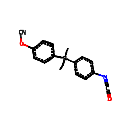 C[Si](C)(c1ccc(N=C=O)cc1)c1ccc(OC#N)cc1